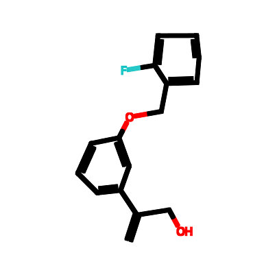 C=C(CO)c1cccc(OCc2ccccc2F)c1